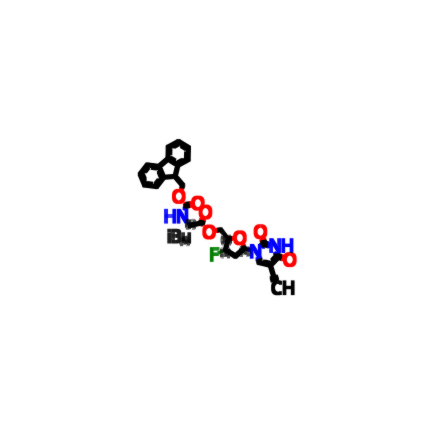 C#Cc1cn([C@H]2C[C@H](F)[C@@H](COC(=O)[C@@H](NC(=O)OCC3c4ccccc4-c4ccccc43)[C@@H](C)CC)O2)c(=O)[nH]c1=O